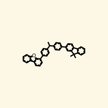 CC(c1ccc(-c2ccc3c(c2)C(C)(C)c2ccccc2-3)cc1)c1ccc(-c2cccc3c2oc2ccccc23)cc1